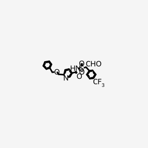 O=CC(c1ccc(C(F)(F)F)cc1)S(=O)(=O)NC(=O)c1ccc(COCc2ccccc2)nc1